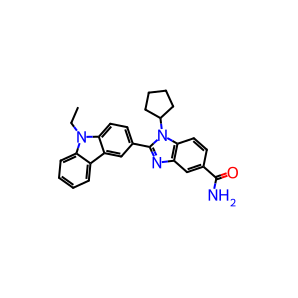 CCn1c2ccccc2c2cc(-c3nc4cc(C(N)=O)ccc4n3C3CCCC3)ccc21